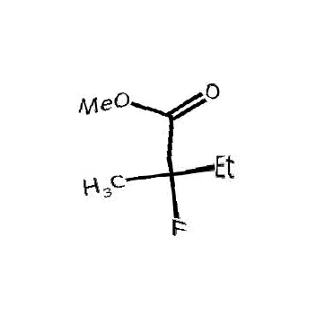 CCC(C)(F)C(=O)OC